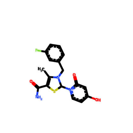 CC1=C(C(N)=O)SC(n2ccc(O)cc2=O)N1Cc1cccc(F)c1